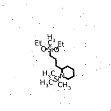 CCO[Si](C)(CCCC1CCCCN1[Si](C)(C)C)OCC